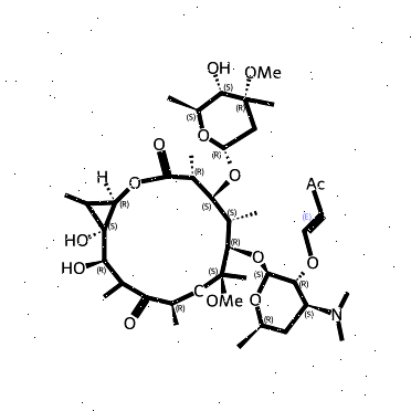 CO[C@]1(C)C[C@H](O[C@H]2[C@H](C)[C@@H](O[C@@H]3O[C@H](C)C[C@H](N(C)C)[C@H]3O/C=C/C(C)=O)[C@@](C)(OC)C[C@@H](C)C(=O)C(C)[C@@H](O)[C@@]3(O)C(C)[C@H]3OC(=O)[C@@H]2C)O[C@@H](C)[C@@H]1O